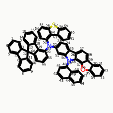 c1ccc2c(c1)-c1ccccc1C21c2ccccc2-c2c(N(c3ccc4c5ccc6c7ccccc7oc6c5n(-c5cccc6ccccc56)c4c3)c3cccc4sc5ccccc5c34)cccc21